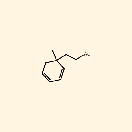 CC(=O)CCC1(C)C=CC=CC1